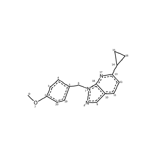 COc1ccc(Cn2ncc3ccc(C4CC4)nc32)cc1